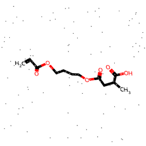 C=CC(=O)OCCCCOC(=O)CC(C)C(=O)O